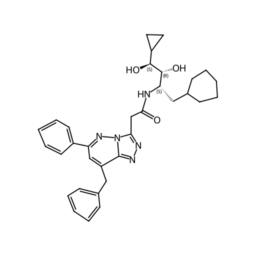 O=C(Cc1nnc2c(Cc3ccccc3)cc(-c3ccccc3)nn12)N[C@@H](CC1CCCCC1)[C@@H](O)[C@@H](O)C1CC1